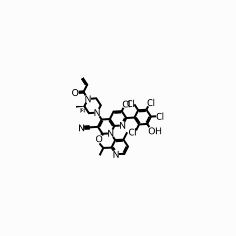 C=CC(=O)N1CCN(c2c(C#N)c(=O)n(-c3c(C)ccnc3C(C)C)c3nc(-c4c(Cl)c(O)c(Cl)c(Cl)c4Cl)c(Cl)cc23)C[C@H]1C